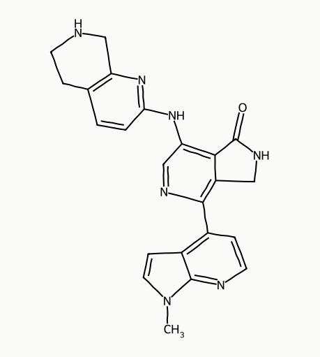 Cn1ccc2c(-c3ncc(Nc4ccc5c(n4)CNCC5)c4c3CNC4=O)ccnc21